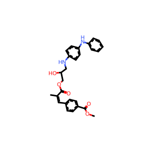 COC(=O)c1ccc(C=C(C)C(=O)OCC(O)CNc2ccc(Nc3ccccc3)cc2)cc1